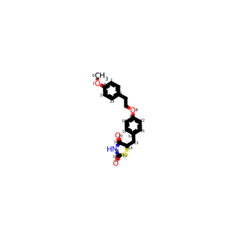 COc1ccc(CCOc2ccc(CC3SC(=O)NC3=O)cc2)cc1